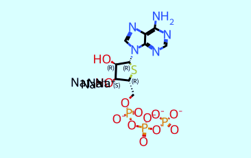 Nc1ncnc2c1ncn2[C@@H]1S[C@H](COP(=O)([O-])OP(=O)([O-])OP(=O)([O-])[O-])[C@@H](O)[C@H]1O.[Na+].[Na+].[Na+].[Na+]